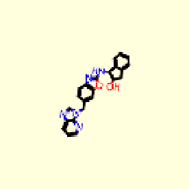 O[C@@H]1Cc2ccccc2C1Nc1nc2ccc(Cn3cnc4cccnc43)cc2o1